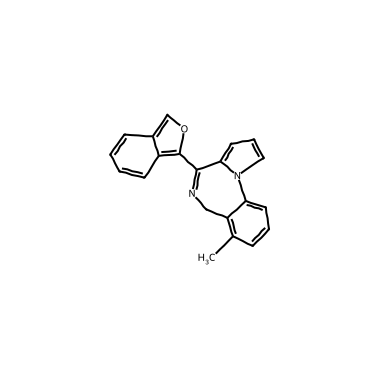 Cc1cccc2c1CN=C(c1occ3ccccc13)c1cccn1-2